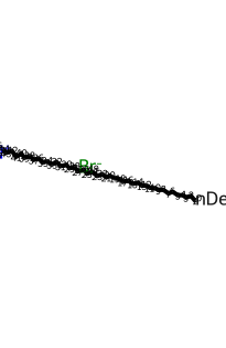 CCCCCCCCCCCCCCCCCCCCCCCCCCCCCCCCCCCCCCCCCCCCCCCCCCCCCC[N+](C)(C)C.[Br-]